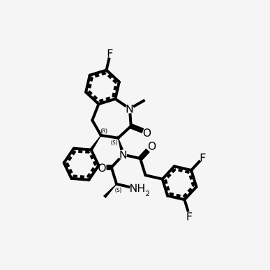 C[C@H](N)C(=O)N(C(=O)Cc1cc(F)cc(F)c1)[C@@H]1C(=O)N(C)c2cc(F)ccc2C[C@@H]1c1ccccc1